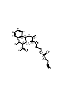 C#CCOC(=O)OCCOC(=O)C(C)CC(CC(CC)C(C)=O)c1ccccc1